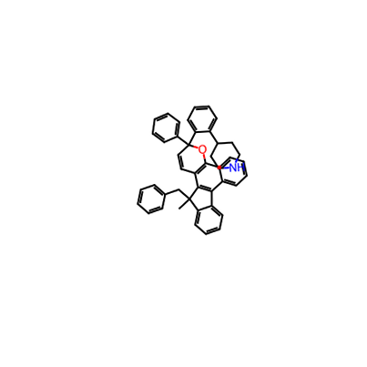 CC1(Cc2ccccc2)c2ccccc2-c2c1c1c(c3ccccc23)OC(c2ccccc2)(c2ccccc2C2CCNCC2)C=C1